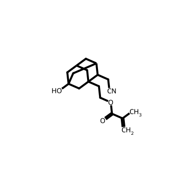 C=C(C)C(=O)OCCC12CC3CC(CC(O)(C3)C1)C2CC#N